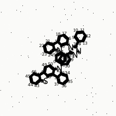 c1ccc(-c2nnc(-c3ccccc3)n2-c2cccc3c4ccccc4n(-c4cccc(-n5c6ccccc6c6c7sc8ccccc8c7ccc65)c4)c23)cc1